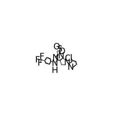 CS(=O)(=O)Cc1nc2c(c(Nc3ccc(C(F)(F)F)cc3)n1)CCN(c1ncccc1Cl)C2